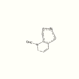 O=CN1CC=Cc2cnccc21